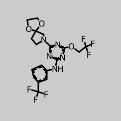 FC(F)(F)COc1nc(Nc2cccc(C(F)(F)F)c2)nc(N2CCC3(C2)OCCO3)n1